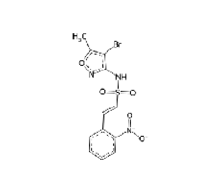 Cc1onc(NS(=O)(=O)C=Cc2ccccc2[N+](=O)[O-])c1Br